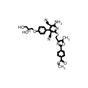 COC(=O)c1ccc(-c2nc(CSc3nc(N)c(C#N)c(-c4ccc(OC[C@@H](O)CO)cc4)c3C#N)c(C)o2)cc1